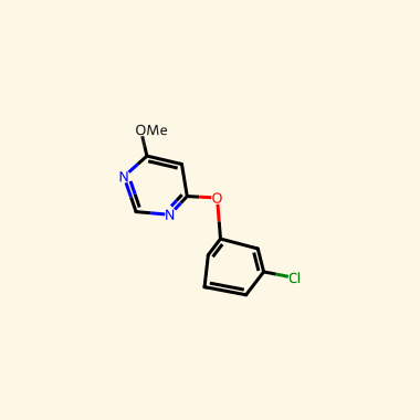 COc1cc(Oc2cccc(Cl)c2)ncn1